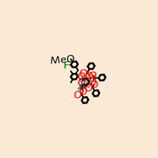 COc1ccc(Cc2c(C)cc(C)cc2O[C@@H]2O[C@H]([C@@H](C)OC(=O)c3ccccc3)[C@@H](OC(=O)c3ccccc3)[C@H](OC(=O)c3ccccc3)[C@H]2OC(=O)c2ccccc2)cc1F